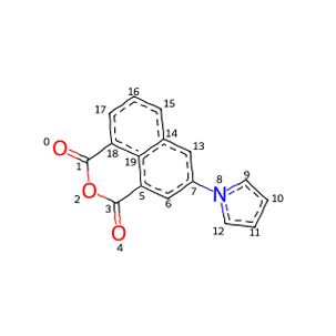 O=C1OC(=O)c2cc(-n3cccc3)cc3cccc1c23